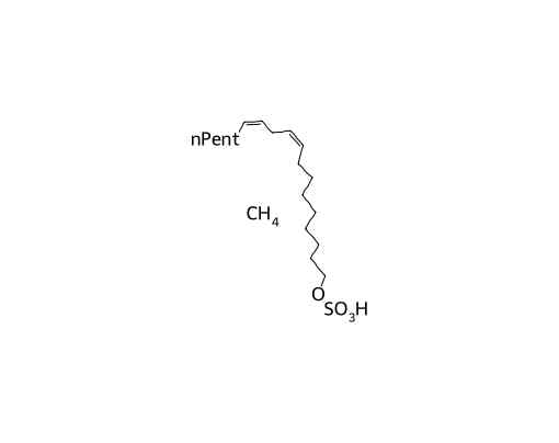 C.CCCCC/C=C\C/C=C\CCCCCCCCOS(=O)(=O)O